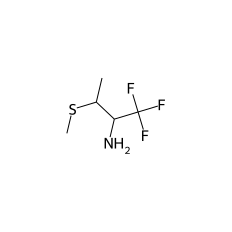 CSC(C)C(N)C(F)(F)F